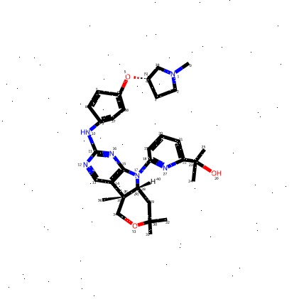 CN1CC[C@H](Oc2ccc(Nc3ncc4c(n3)N(c3cccc(C(C)(C)O)n3)[C@@H]3CC(C)(C)OC[C@]43C)cc2)C1